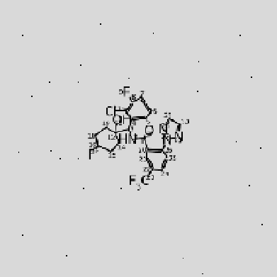 O=C(NC(c1cccc(F)c1Cl)[C@]1(O)CC[C@@H](F)CC1)c1cc(C(F)(F)F)ccc1-n1nccn1